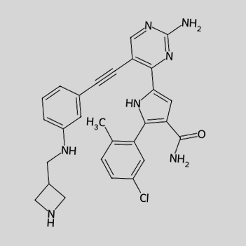 Cc1ccc(Cl)cc1-c1[nH]c(-c2nc(N)ncc2C#Cc2cccc(NCC3CNC3)c2)cc1C(N)=O